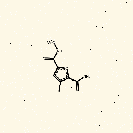 C=C(N)c1oc(C(=O)NOC)cc1C